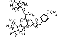 COc1ccc(CS(=O)(=O)[C@@H]2C[C@@H](C(=O)NC(C(C)C)C(O)C(F)(F)F)N(C(=O)C(N)CO[Si](C)(C)C(C)(C)C)C2)cc1